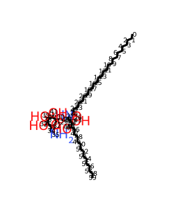 CCCCCCCCCCCCCCCCCCCCCCCCCC(=O)N[C@@H](COC1OC(CN)C(O)C(O)C1O)[C@H](O)[C@H](O)CCCCCCCCCCCCCC